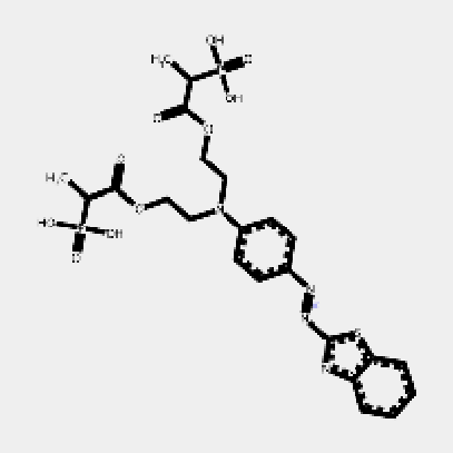 CC(C(=O)OCCN(CCOC(=O)C(C)P(=O)(O)O)c1ccc(/N=N/c2nc3ccccc3s2)cc1)P(=O)(O)O